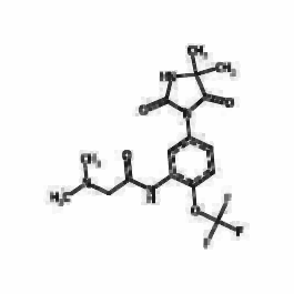 CN(C)CC(=O)Nc1cc(N2C(=O)NC(C)(C)C2=O)ccc1OC(F)(F)F